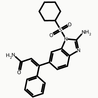 NC(=O)C=C(c1ccccc1)c1ccc2nc(N)n(S(=O)(=O)C3CCCCC3)c2c1